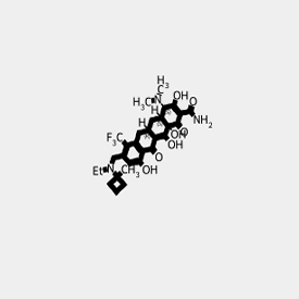 CCN(Cc1cc(O)c2c(c1C(F)(F)F)C[C@H]1C[C@H]3[C@H](N(C)C)C(O)=C(C(N)=O)C(=O)[C@@]3(O)C(O)=C1C2=O)C1(C)CCC1